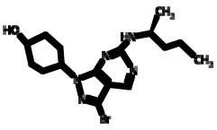 CCC[C@H](C)Nc1ncc2c(Br)nn(C3CCC(O)CC3)c2n1